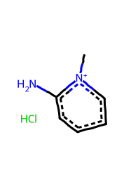 C[n+]1ccccc1N.Cl